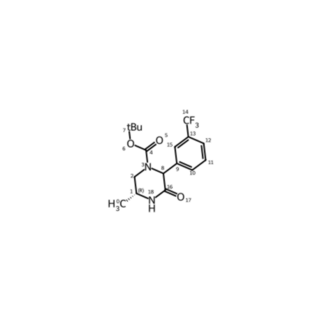 C[C@@H]1CN(C(=O)OC(C)(C)C)C(c2cccc(C(F)(F)F)c2)C(=O)N1